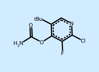 CC(C)(C)c1cnc(Cl)c(F)c1OC(N)=O